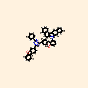 c1ccc(-c2nc(-c3ccc4c(c3)oc3ccccc34)nc(-c3ccc4c(c3)oc3cccc(-n5c6cc7ccccc7cc6c6c7ccccc7ccc65)c34)n2)cc1